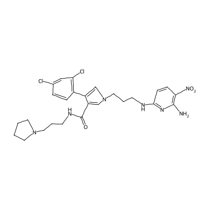 Nc1nc(NCCCn2cc(C(=O)NCCCN3CCCC3)c(-c3ccc(Cl)cc3Cl)c2)ccc1[N+](=O)[O-]